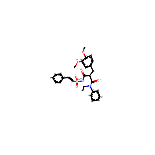 CCN(C(=O)C(Cc1ccc(OC)c(OC)c1)C(=O)NS(=O)(=O)C=Cc1ccccc1)c1ccccc1